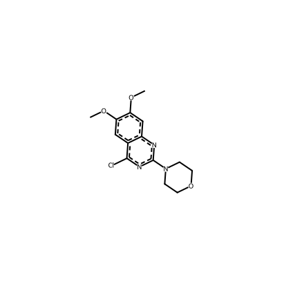 COc1cc2nc(N3CCOCC3)nc(Cl)c2cc1OC